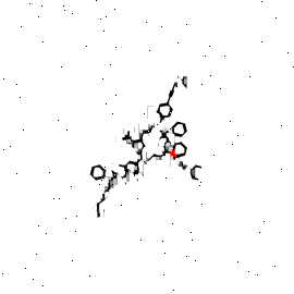 CCN(CC)CCNCC(CCCN(c1cc(C)c(/N=c2\sc3ccccc3n2COCC[Si](C)(C)C)nn1)c1nc(C(=O)O)c(CCCOc2ccc(C#CCN(C)C)cc2F)s1)O[Si](c1ccccc1)(c1ccccc1)C(C)(C)C